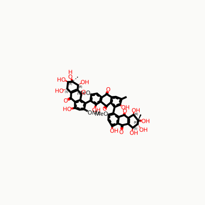 COc1cc2c(c(O)c1-c1c(OC)cc(O)c3c1C(=O)C1=C(C3=O)[C@H](O)[C@@H](O)[C@@](C)(O)[C@@H]1O)C(=O)c1c(cc(C)c(O)c1-c1c(OC)cc(O)c3c1C(=O)C1=C(C3=O)[C@H](O)[C@@H](O)[C@@](C)(O)[C@@H]1O)C2=O